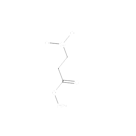 CCCCOC(=O)C[CH2][Sn]([Cl])[Cl]